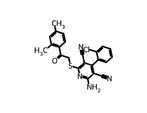 Cc1ccc(C(=O)CSc2nc(N)c(C#N)c(-c3ccccc3Cl)c2C#N)c(C)c1